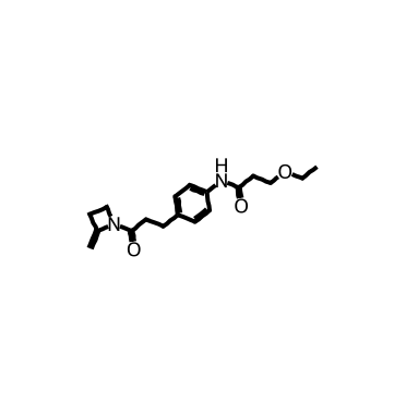 C=C1CCN1C(=O)CCc1ccc(NC(=O)CCOCC)cc1